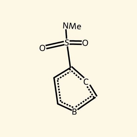 CNS(=O)(=O)c1ccbcc1